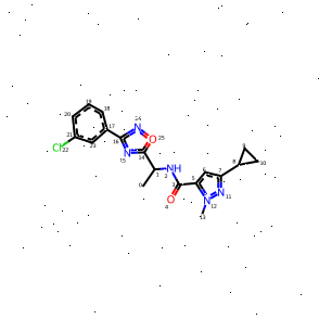 CC(NC(=O)c1cc(C2CC2)nn1C)c1nc(-c2cccc(Cl)c2)no1